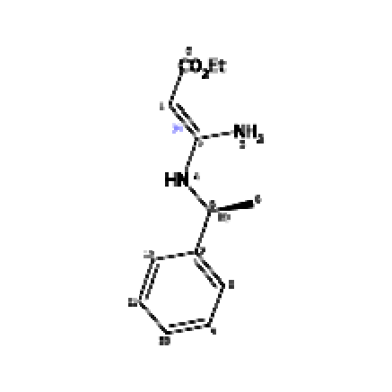 CCOC(=O)/C=C(\N)N[C@@H](C)c1ccccc1